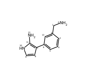 NCc1cccc(-c2cc[nH]c2N)c1